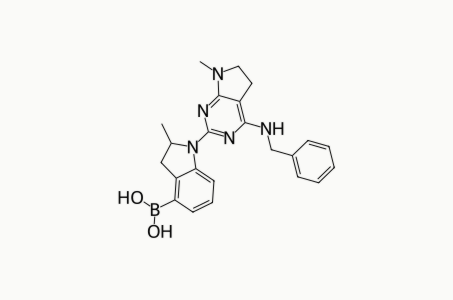 CC1Cc2c(B(O)O)cccc2N1c1nc(NCc2ccccc2)c2c(n1)N(C)CC2